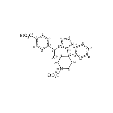 CCOC(=O)c1ccc(C(C)n2ccnc2C2(c3ccccc3)CCN(C(=O)OCC)CC2)cc1